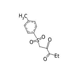 CCC(=O)C(=O)CS(=O)(=O)c1ccc(C)cc1